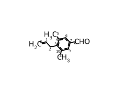 C=CCc1c(C)cc(C=O)cc1C